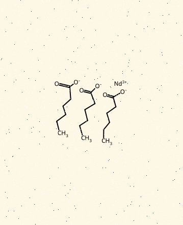 CCCCCC(=O)[O-].CCCCCC(=O)[O-].CCCCCC(=O)[O-].[Nd+3]